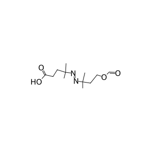 CC(C)(CCOC=O)/N=N/C(C)(C)CCC(=O)O